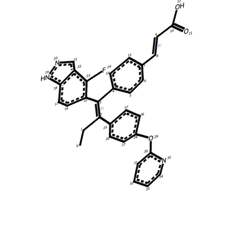 CC/C(=C(/c1ccc(/C=C/C(=O)O)cc1)c1ccc2[nH]ncc2c1F)c1ccc(Oc2ccccn2)cc1